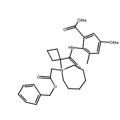 COC(=O)c1cc(OC)cc(C)c1NC(=O)C1([N+]2(CC(=O)OCc3ccccc3)CCCCCC2)CCC1